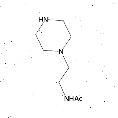 CC(=O)N[CH]CN1CCNCC1